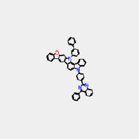 c1ccc(-c2cccc(-n3c4cc5oc6ccccc6c5cc4c4ccc5c(c6ccccc6n5-c5ccc(-c6nc(-c7ccccc7)c7ccccc7n6)cc5)c43)c2)cc1